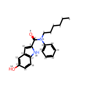 CCCCCCN(C(=O)c1cc2cc(O)ccc2[nH]1)c1ccccc1